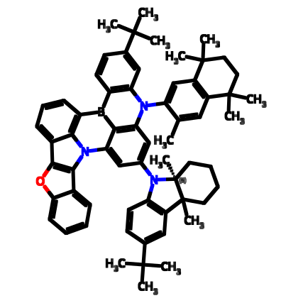 Cc1cc2c(cc1N1c3cc(C(C)(C)C)ccc3B3c4c1cc(N1c5ccc(C(C)(C)C)cc5C5(C)CCCC[C@]15C)cc4-n1c4c3cccc4c3oc4ccccc4c31)C(C)(C)CCC2(C)C